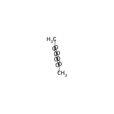 CCCCCCCC(=O)Oc1ccc(C(=O)OC2CCC(OC(=O)c3ccc(OC(=O)CCCCCCC)cc3)CC2)cc1